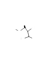 CC(C)C(C)C(C)C(=O)SC(C)(C)C